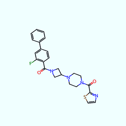 O=C(c1nccs1)N1CCN(C2CN(C(=O)c3ccc(-c4ccccc4)cc3F)C2)CC1